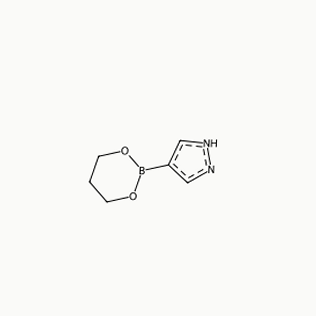 c1n[nH]cc1B1OCCCO1